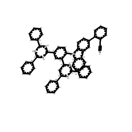 N#Cc1ccccc1-c1ccc2c(c1)c1ccccc1n2-c1ccc(-c2nc(-c3ccccc3)nc(-c3ccccc3)n2)cc1-c1cc(-c2ccccc2)nc(-c2ccccc2)n1